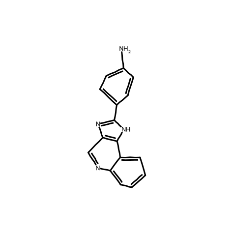 Nc1ccc(-c2nc3cnc4ccccc4c3[nH]2)cc1